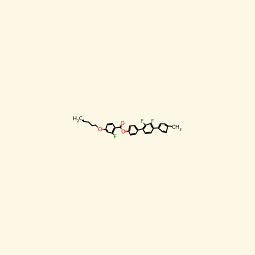 C=CCCCOc1ccc(C(=O)Oc2ccc(-c3ccc(-c4ccc(C)cc4)c(F)c3F)cc2)c(F)c1